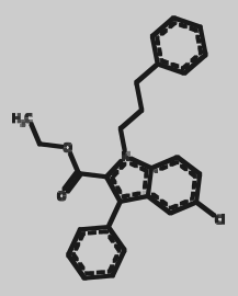 CCOC(=O)c1c(-c2ccccc2)c2cc(Cl)ccc2n1CCCc1ccccc1